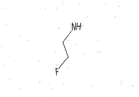 [NH]CCF